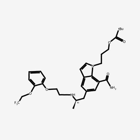 C[C@H](Cc1cc(C(N)=O)c2c(ccn2CCCOC(=O)C(C)(C)C)c1)NCCOc1ccccc1OCC(F)(F)F